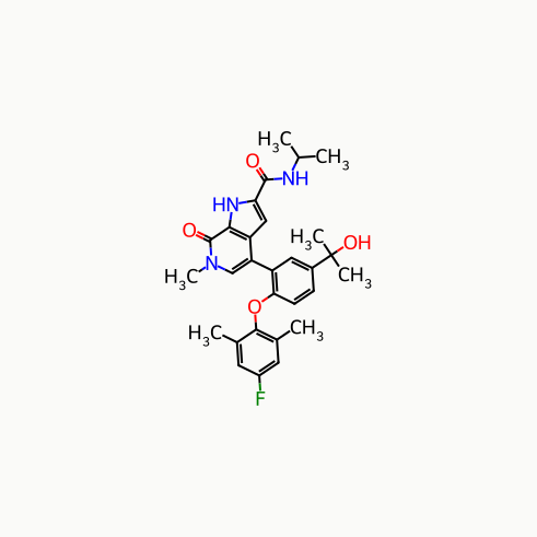 Cc1cc(F)cc(C)c1Oc1ccc(C(C)(C)O)cc1-c1cn(C)c(=O)c2[nH]c(C(=O)NC(C)C)cc12